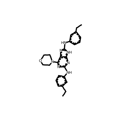 CCc1cccc(Nc2nc(N3CCOCC3)c3nc(Nc4cccc(CC)c4)[nH]c3n2)c1